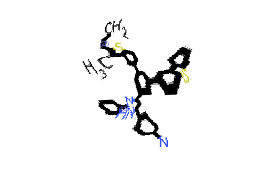 C=C/C=C\c1sc2ccc(-c3cc(C4=N/C(=C5\C=CC=CC5)NC(C5CCC(C#N)CC5)=C4)cc(-c4ccc5sc6ccccc6c5c4)c3)cc2c1C